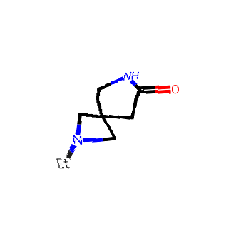 CCN1CC2(CNC(=O)C2)C1